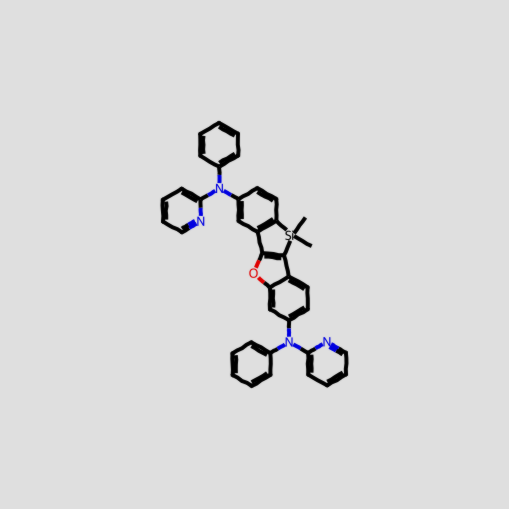 C[Si]1(C)c2ccc(N(c3ccccc3)c3ccccn3)cc2-c2oc3cc(N(c4ccccc4)c4ccccn4)ccc3c21